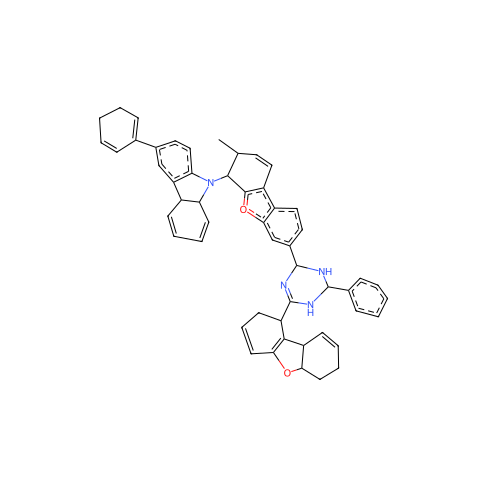 CC1C=Cc2c(oc3cc(C4N=C(C5CC=CC6=C5C5C=CCCC5O6)NC(c5ccccc5)N4)ccc23)C1N1c2ccc(C3=CCCC=C3)cc2C2C=CC=CC21